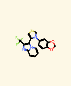 FC(F)(F)c1nc2ccccn2c1C1=CSCN1c1ccc2c(c1)OCO2